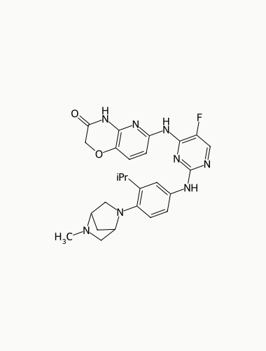 CC(C)c1cc(Nc2ncc(F)c(Nc3ccc4c(n3)NC(=O)CO4)n2)ccc1N1CC2CC1CN2C